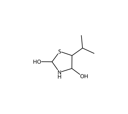 CC(C)C1SC(O)NC1O